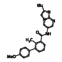 COc1ccc(-c2cccc(C(=O)Nc3cnc4nc(C(C)(C)C)cn4c3)c2C)cc1